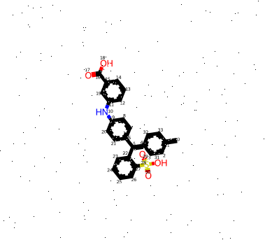 C=c1ccc(=C(c2ccc(Nc3cccc(C(=O)O)c3)cc2)c2ccccc2S(=O)(=O)O)cc1